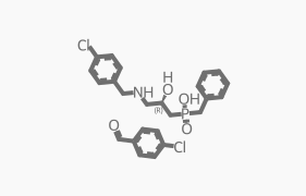 O=Cc1ccc(Cl)cc1.O=P(O)(Cc1ccccc1)C[C@H](O)CNCc1ccc(Cl)cc1